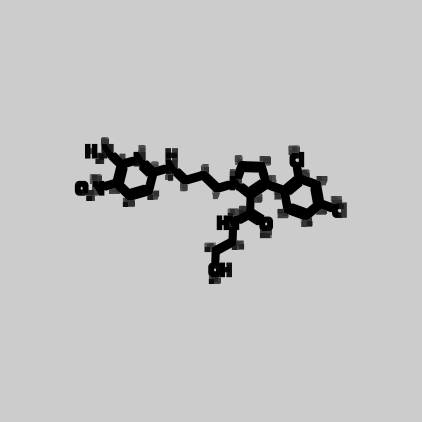 Nc1nc(NCCCn2ccc(-c3ccc(Cl)cc3Cl)c2C(=O)NCCO)ccc1[N+](=O)[O-]